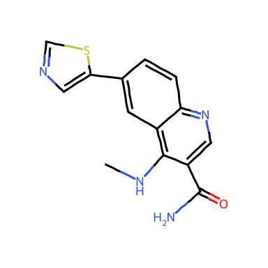 CNc1c(C(N)=O)cnc2ccc(-c3cncs3)cc12